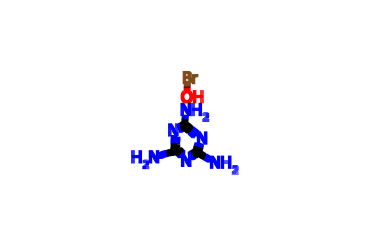 Nc1nc(N)nc(N)n1.OBr